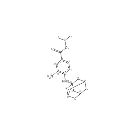 CC(C)OC(=O)c1ccc(NC23CC4CC(CC(C4)C2)C3)c(N)c1